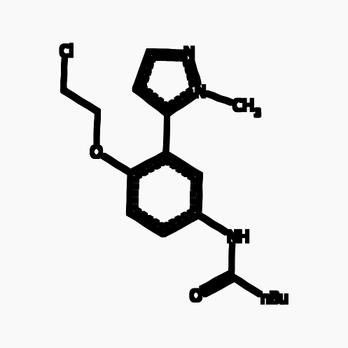 CCCCC(=O)Nc1ccc(OCCCl)c(-c2ccnn2C)c1